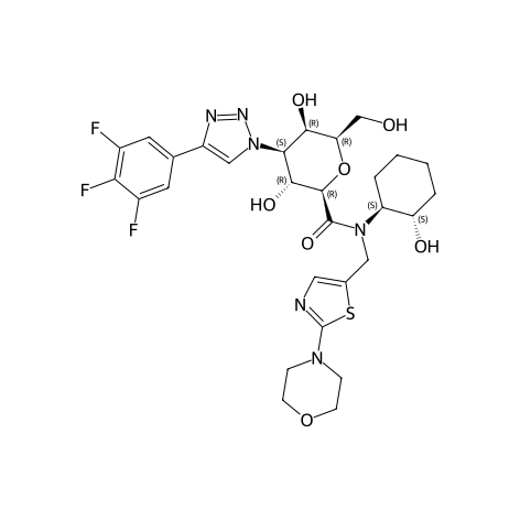 O=C([C@@H]1O[C@H](CO)[C@H](O)[C@H](n2cc(-c3cc(F)c(F)c(F)c3)nn2)[C@H]1O)N(Cc1cnc(N2CCOCC2)s1)[C@H]1CCCC[C@@H]1O